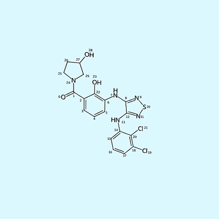 O=C(c1cccc(Nc2nsnc2Nc2cccc(Cl)c2Cl)c1O)N1CCC(O)C1